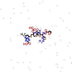 Cc1cc(SCC2=C(OC(=O)O)N3C(=O)[C@@H](NC(=O)C(=NOC(=O)c4ccco4)c4csc(N)n4)[C@H]3SC2)n2nc(C(=O)O)nc2n1